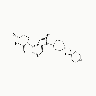 Cl.O=C1CCN(c2cncc3c2cnn3C2CCN(CC3(F)CCNCC3)CC2)C(=O)N1